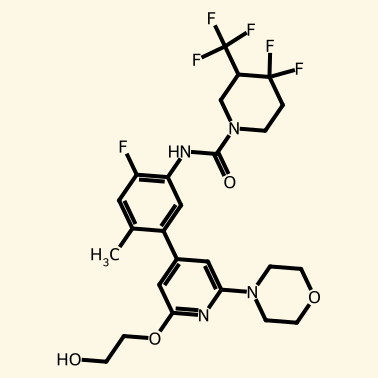 Cc1cc(F)c(NC(=O)N2CCC(F)(F)C(C(F)(F)F)C2)cc1-c1cc(OCCO)nc(N2CCOCC2)c1